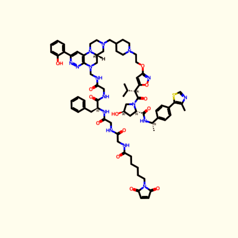 Cc1ncsc1-c1ccc([C@H](C)NC(=O)[C@@H]2C[C@@H](O)CN2C(=O)[C@@H](c2cc(OCCN3CCC(CN4CCN5c6cc(-c7ccccc7O)nnc6N(CNC(=O)CNC(=O)[C@H](Cc6ccccc6)NC(=O)CNC(=O)CNC(=O)CCCCCN6C(=O)C=CC6=O)C[C@H]5C4)CC3)no2)C(C)C)cc1